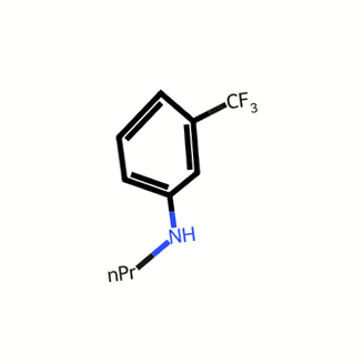 CCCNc1cccc(C(F)(F)F)c1